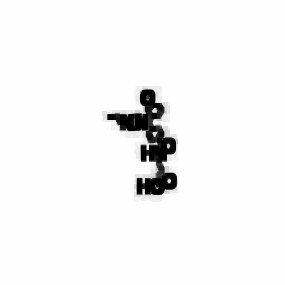 C=CCN1CCN(C(c2ccc(C(=O)NCCCCC(=O)O)cc2)c2cccc(OC)c2)CC1